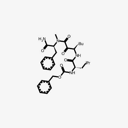 CC[C@H](C)C(NC(=O)[C@H](CC(C)C)NC(=O)OCc1ccccc1)C(=O)C(=O)N(C)[C@@H](Cc1ccccc1)C(N)=O